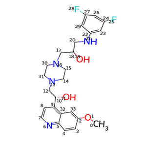 COc1ccc2nccc([C@@H](O)CN3CCN(CC(O)CNc4cc(F)cc(F)c4)CC3)c2c1